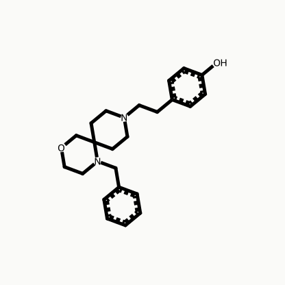 Oc1ccc(CCN2CCC3(CC2)COCCN3Cc2ccccc2)cc1